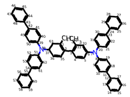 CC1=C(c2ccc(N(c3ccc(-c4ccccc4)cc3)c3ccc(-c4ccccc4)cc3)cc2C)C=CC(N(c2ccc(-c3ccccc3)cc2)c2ccc(-c3ccccc3)cc2)C1